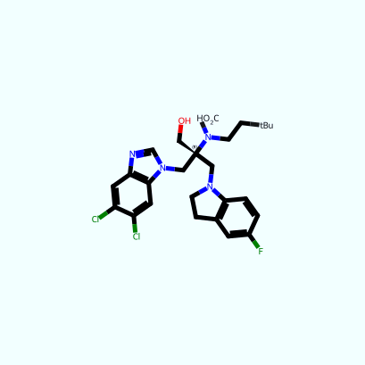 CC(C)(C)CCN(C(=O)O)[C@](CO)(CN1CCc2cc(F)ccc21)Cn1cnc2cc(Cl)c(Cl)cc21